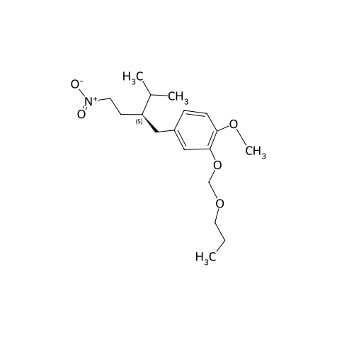 CCCOCOc1cc(C[C@@H](CC[N+](=O)[O-])C(C)C)ccc1OC